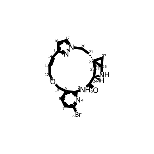 O=C1Nc2nc(Br)ccc2COC/C=C\c2ccn(n2)CC[C@@]23C[C@@H]1N[C@@H]2C3